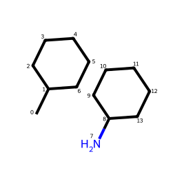 CC1CCCCC1.NC1CCCCC1